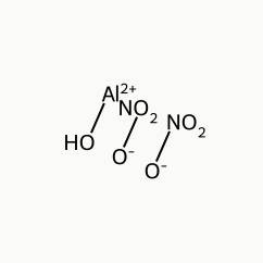 O=[N+]([O-])[O-].O=[N+]([O-])[O-].[OH][Al+2]